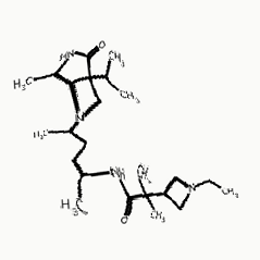 CCN1CC(C(C)(C)C(=O)NC(C)CCC(C)N2CC3(C(C)C)C(=O)NC(C)C23)C1